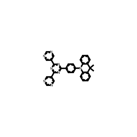 CC1(C)c2ccccc2N(c2ccc(-c3nc(-c4cncnc4)nc(-c4cncnc4)n3)cc2)c2ccccc21